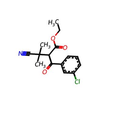 CCOC(=O)C(C(=O)c1cccc(Cl)c1)C(C)(C)C#N